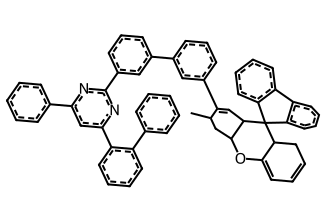 CC1CC2OC3=CC=CCC3C3(c4ccccc4-c4ccccc43)C2C=C1c1cccc(-c2cccc(-c3nc(-c4ccccc4)cc(-c4ccccc4-c4ccccc4)n3)c2)c1